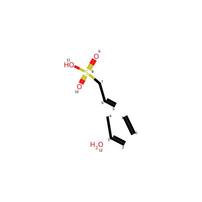 C=C.C=CC.C=CCS(=O)(=O)O.O